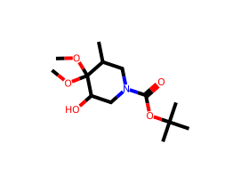 COC1(OC)C(C)CN(C(=O)OC(C)(C)C)CC1O